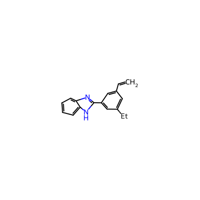 C=Cc1cc(CC)cc(-c2nc3ccccc3[nH]2)c1